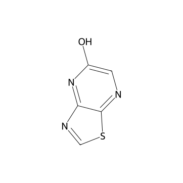 Oc1cnc2scnc2n1